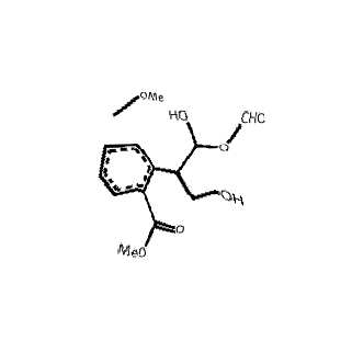 COC.COC(=O)c1ccccc1C(CO)C(O)OC=O